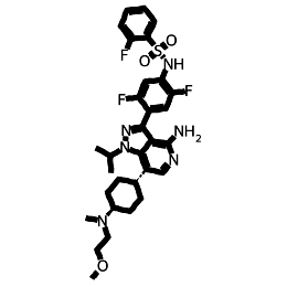 COCCN(C)[C@H]1CC[C@H](c2cnc(N)c3c(-c4cc(F)c(NS(=O)(=O)c5ccccc5F)cc4F)nn(C(C)C)c32)CC1